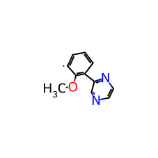 COc1[c]cccc1-c1cnccn1